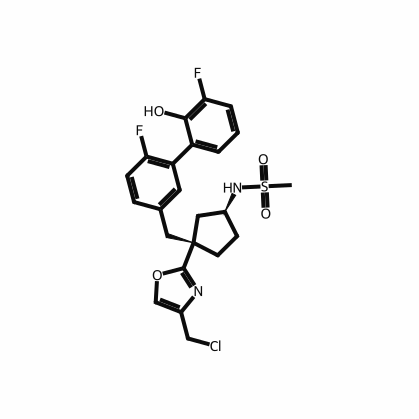 CS(=O)(=O)N[C@H]1CC[C@](Cc2ccc(F)c(-c3cccc(F)c3O)c2)(c2nc(CCl)co2)C1